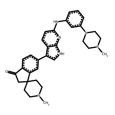 CN1CCN(c2cccc(Nc3ccc4c(-c5ccc6c(c5)C5(CCN(C)CC5)CC6=O)c[nH]c4n3)c2)CC1